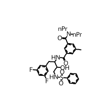 CCCN(CCC)C(=O)c1cc(C)cc(C(=O)NC(Cc2cc(F)cc(F)c2)C(O)CNS(=O)(=O)c2ccccc2)c1